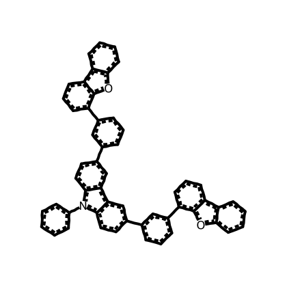 c1ccc(-n2c3ccc(-c4cccc(-c5cccc6c5oc5ccccc56)c4)cc3c3cc(-c4cccc(-c5cccc6c5oc5ccccc56)c4)ccc32)cc1